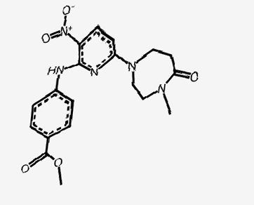 COC(=O)c1ccc(Nc2nc(N3CCC(=O)N(C)CC3)ccc2[N+](=O)[O-])cc1